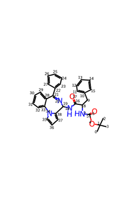 CC(C)(C)OC(=O)NC(Cc1ccccc1)C(=O)NC1N=C(c2ccccc2)c2ccccc2-n2cccc21